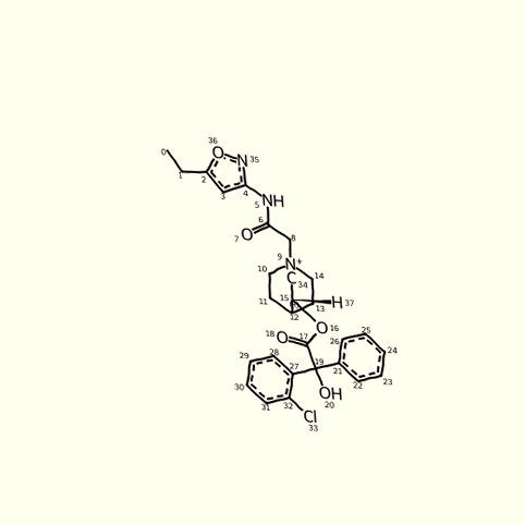 CCc1cc(NC(=O)C[N+]23CCC(CC2)[C@@H](OC(=O)C(O)(c2ccccc2)c2ccccc2Cl)C3)no1